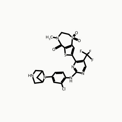 CN1CCS(=O)(=O)c2cc(-c3nc(Nc4ccc(N5C6CNCC5C6)cc4Cl)ncc3C(F)(F)F)sc2C1=O